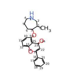 CC1CNCCCC1Oc1cccc2oc(-c3ccccc3)cc(=O)c12